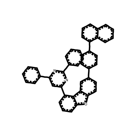 c1ccc(-c2cc(-c3cccc4oc5ccc(-c6ccc(-c7cccc8ccccc78)cc6)cc5c34)nc(-c3ccccc3)n2)cc1